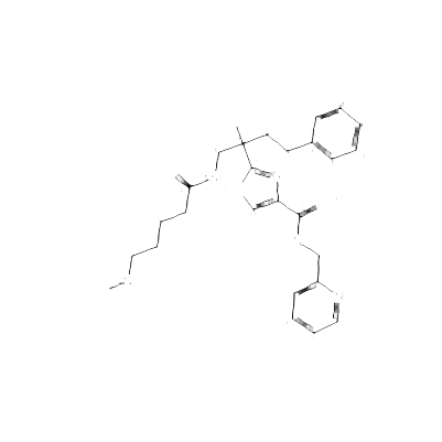 O=C(O)NCCCCC(=O)NCC(O)(CCc1ccccc1)c1nc(C(=O)NCc2ccccn2)co1